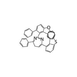 C1=C(c2cccc3sc4ccccc4c23)N=C(c2c(-c3ccccc3)ccc3oc4ccccc4c23)N=C(c2ccccc2)C1